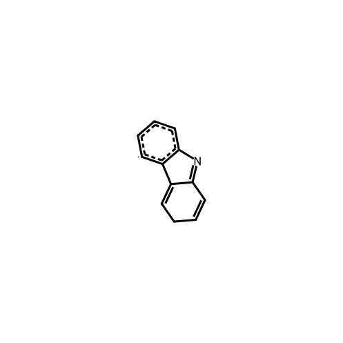 [c]1cccc2c1C1=CCC=CC1=N2